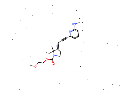 CNc1cccc(C#C/C=C2\CCN(C(=O)OCCOC)C2(C)C)n1